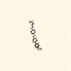 N#CC=CCC[C@H]1CC[C@H](CC[C@H]2CC[C@H](c3ccc(C#N)cc3)CC2)CC1